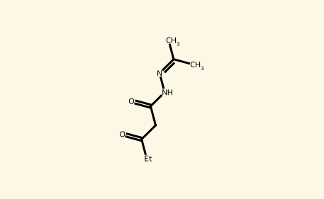 CCC(=O)CC(=O)NN=C(C)C